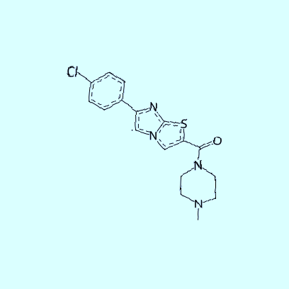 CN1CCN(C(=O)c2cn3[c]c(-c4ccc(Cl)cc4)nc3s2)CC1